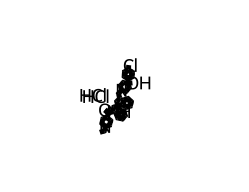 CCN1CCC(C(=O)NCC(CCCN2CCC(O)(c3ccc(Cl)cc3)CC2)(c2ccccc2)c2ccccc2)CC1.Cl.Cl